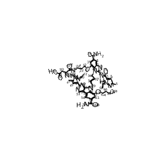 CCn1nc(C)cc1C(=O)Nc1nc2cc(C(N)=O)cc(OCCCNC(=O)C(N)CC(=O)O)c2n1C/C=C/Cn1c2nc(-c3cc(C)nn3CC)ncc2c2cc(C(N)=O)cc(OCCCOC)c21